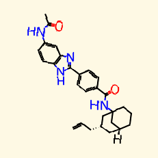 C=CC[C@H]1C[C@H]2CCCC(NC(=O)c3ccc(-c4nc5cc(NC(C)=O)ccc5[nH]4)cc3)(C2)C1